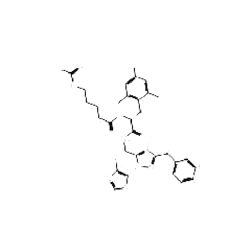 Cc1cc(O)cc(C)c1C[C@H](NC(=O)[C@H](C)CCCNC(=N)N)C(=O)N[C@@H](Cc1c[nH]cn1)c1nc(Cc2ccccc2)no1